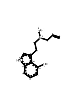 C=CCN(CCC)CCc1c[nH]c2cccc(O)c12